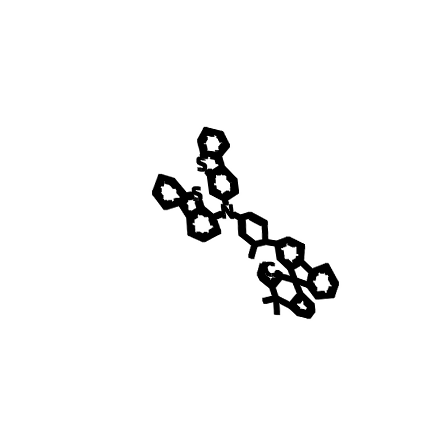 CC1C=C(N(c2ccc3c(c2)sc2ccccc23)c2cccc3c2sc2ccccc23)C=CC1c1ccc2c(c1)C1(c3ccccc3-2)c2ccccc2C(C)(C)c2ccccc21